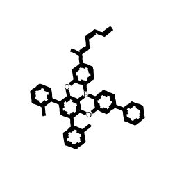 C=C/C=C\C=C(/C)c1ccc2c(c1)Oc1c(-c3ccccc3C)cc(-c3ccccc3C)c3c1B2c1ccc(-c2ccccc2)cc1O3